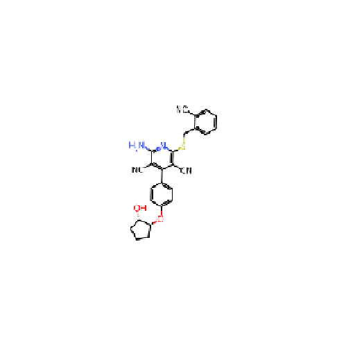 N#Cc1ccccc1CSc1nc(N)c(C#N)c(-c2ccc(O[C@H]3CCC[C@@H]3O)cc2)c1C#N